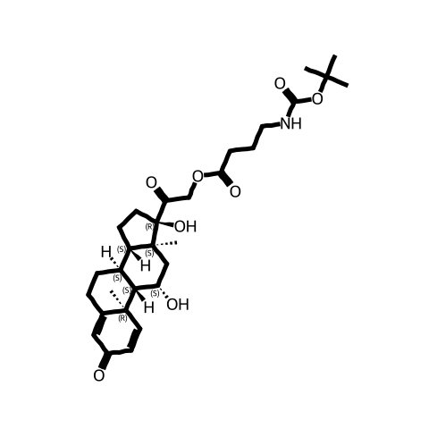 CC(C)(C)OC(=O)NCCCC(=O)OCC(=O)[C@@]1(O)CC[C@H]2[C@@H]3CCC4=CC(=O)C=C[C@]4(C)[C@H]3[C@@H](O)C[C@@]21C